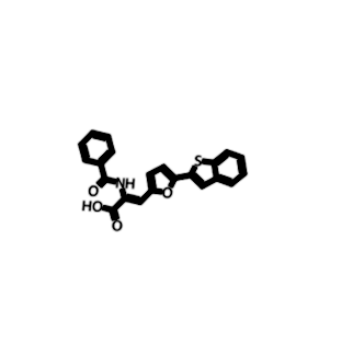 O=C(O)C(=Cc1ccc(-c2cc3ccccc3s2)o1)NC(=O)c1ccccc1